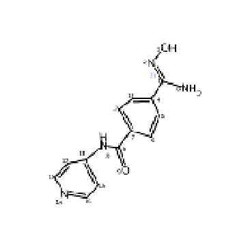 N/C(=N\O)c1ccc(C(=O)Nc2ccncc2)cc1